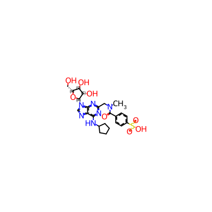 CN(Cc1nc(NC2CCCC2)c2ncn([C@@H]3O[C@H](CO)[C@@H](O)[C@@H]3O)c2n1)C(=O)c1ccc(S(=O)(=O)O)cc1